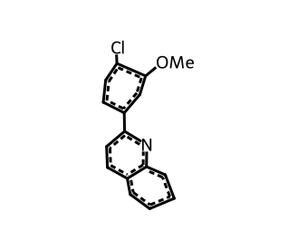 COc1cc(-c2ccc3ccccc3n2)ccc1Cl